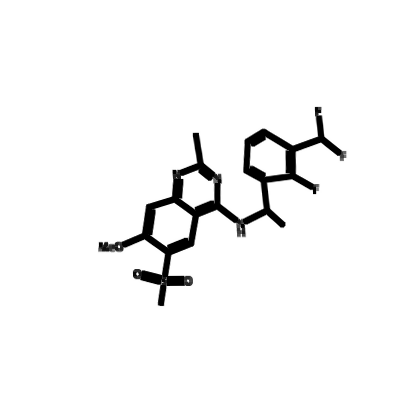 COc1cc2nc(C)nc(NC(C)c3cccc(C(F)F)c3F)c2cc1S(C)(=O)=O